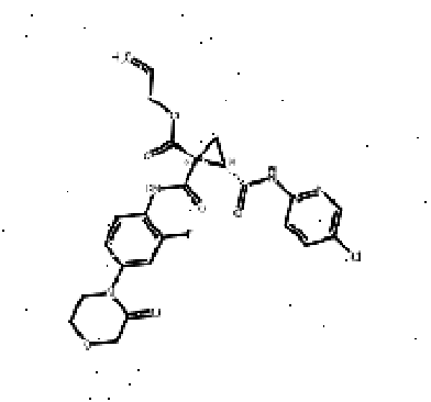 C=CCOC(=O)[C@@]1(C(=O)Nc2ccc(N3CCOCC3=O)cc2F)C[C@@H]1C(=O)Nc1ccc(Cl)cn1